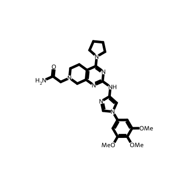 COc1cc(-n2cnc(Nc3nc4c(c(N5CCCC5)n3)CCN(CC(N)=O)C4)c2)cc(OC)c1OC